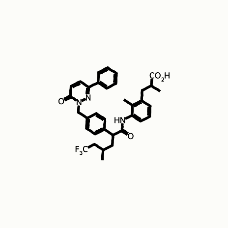 Cc1c(CC(C)C(=O)O)cccc1NC(=O)C(CC(C)CC(F)(F)F)c1ccc(Cn2nc(-c3ccccc3)ccc2=O)cc1